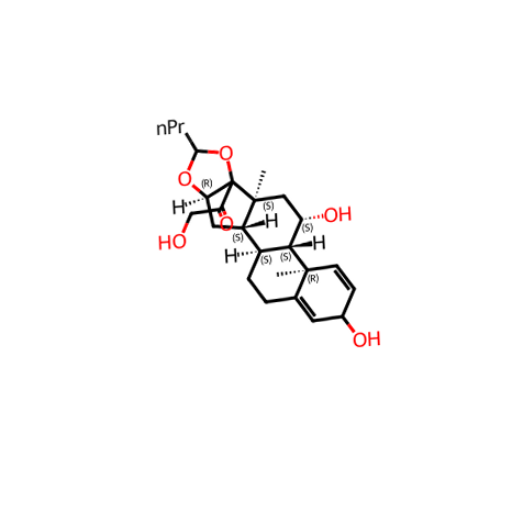 CCCC1O[C@@H]2C[C@H]3[C@@H]4CCC5=CC(O)C=C[C@]5(C)[C@H]4[C@@H](O)C[C@]3(C)C2(C(=O)CO)O1